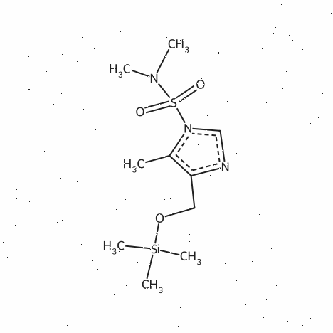 Cc1c(CO[Si](C)(C)C)ncn1S(=O)(=O)N(C)C